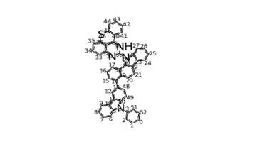 c1ccc(-n2c3ccccc3c3cc(-c4cccc5c4ccc4c6ccccc6n(C6N=c7cccc8c7=C(N6)c6ccccc6S8)c54)ccc32)cc1